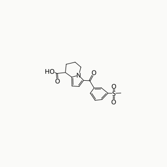 CS(=O)(=O)c1cccc(C(=O)c2ccc3n2CCCC3C(=O)O)c1